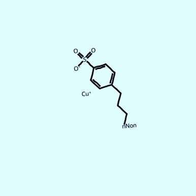 CCCCCCCCCCCCc1ccc(S(=O)(=O)[O-])cc1.[Cu+]